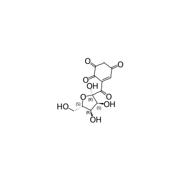 O=C1C=C(C(=O)[C@]2(O)O[C@@H](CO)[C@H](O)[C@@H]2O)C(=O)C(=O)C1